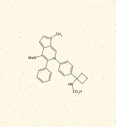 CNC1=C(c2ccccc2)N(c2ccc(C3(NC(=O)O)CCC3)cc2)C=C2C1=CC=S2C